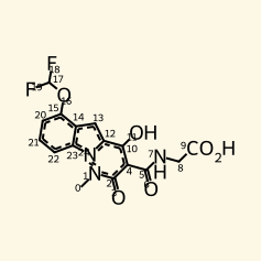 Cn1c(=O)c(C(=O)NCC(=O)O)c(O)c2cc3c(OC(F)F)cccc3n21